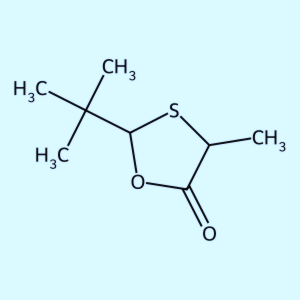 CC1SC(C(C)(C)C)OC1=O